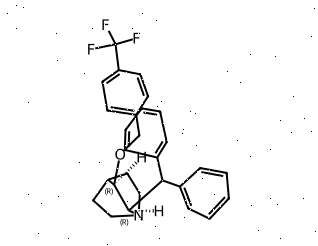 FC(F)(F)c1ccc(CO[C@@H]2C3CCN(CC3)[C@@H]2C(c2ccccc2)c2ccccc2)cc1